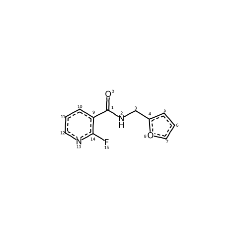 O=C(NCc1ccco1)c1cccnc1F